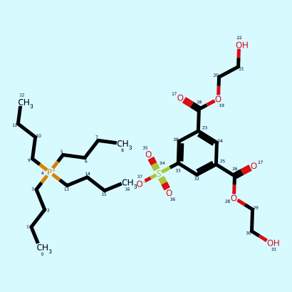 CCCC[P+](CCCC)(CCCC)CCCC.O=C(OCCO)c1cc(C(=O)OCCO)cc(S(=O)(=O)[O-])c1